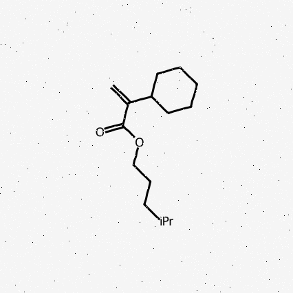 C=C(C(=O)OCCCC(C)C)C1CCCCC1